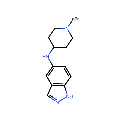 CCCN1CCC(Nc2ccc3[nH]ncc3c2)CC1